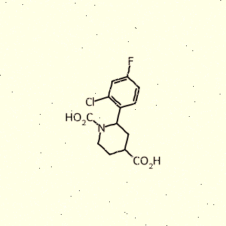 O=C(O)C1CCN(C(=O)O)C(c2ccc(F)cc2Cl)C1